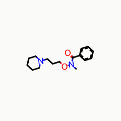 CN(OCCCN1CCCCC1)C(=O)c1ccccc1